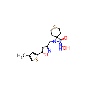 Cc1csc(-c2cc(CNC3(C(=O)NO)CCSCC3)no2)c1